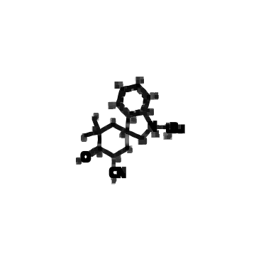 CC1(C)CC2(CC(C#N)C1=O)CN(C(C)(C)C)c1ccccc12